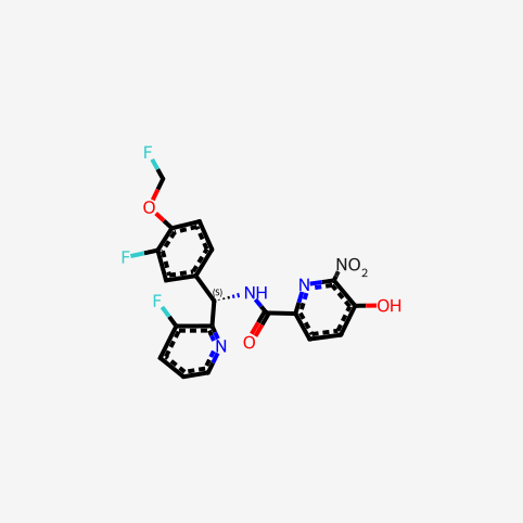 O=C(N[C@@H](c1ccc(OCF)c(F)c1)c1ncccc1F)c1ccc(O)c([N+](=O)[O-])n1